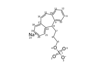 O=S(=O)([O-])OCCCC1c2ccccc2C=Cc2ccccc21.[Na+]